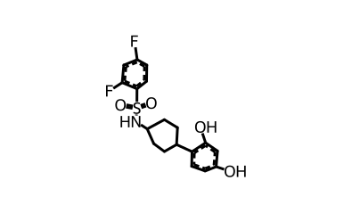 O=S(=O)(NC1CCC(c2ccc(O)cc2O)CC1)c1ccc(F)cc1F